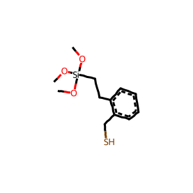 CO[Si](CCc1ccccc1CS)(OC)OC